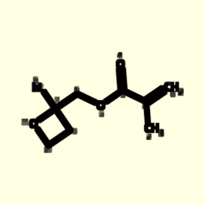 C=C(C)C(=O)OCC1(CC)CCO1